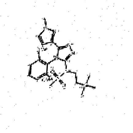 COc1cccc(OC)c1-n1c(-c2ccn(C)n2)nnc1N(CC[Si](C)(C)C)S(C)(=O)=O